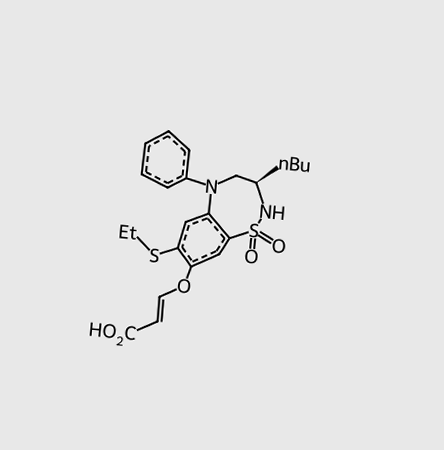 CCCC[C@@H]1CN(c2ccccc2)c2cc(SCC)c(O/C=C/C(=O)O)cc2S(=O)(=O)N1